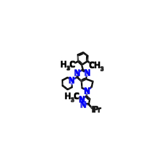 Cc1cccc(C)c1-c1nc2c(c(N3CCCCC3)n1)CN(c1cc(C(C)C)nn1C)CC2